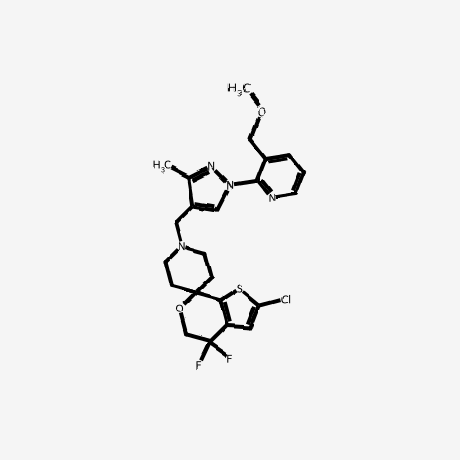 COCc1cccnc1-n1cc(CN2CCC3(CC2)OCC(F)(F)c2cc(Cl)sc23)c(C)n1